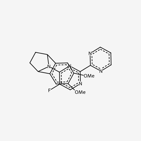 COc1cc2c(cc1OC)C1CCC2N1c1nc(-c2ncccn2)ncc1F